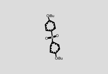 CC(C)COc1ccc(S(=O)(=O)c2ccc(OCC(C)C)cc2)cc1